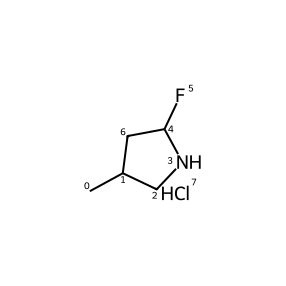 CC1CNC(F)C1.Cl